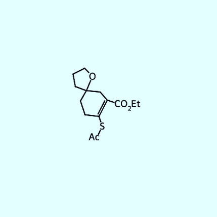 CCOC(=O)C1=C(SC(C)=O)CCC2(CCCO2)C1